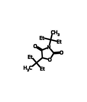 CCC(C)(CC)C1OC(=O)N(C(C)(CC)CC)C1=O